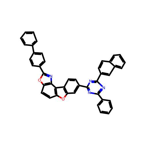 c1ccc(-c2ccc(-c3nc4c(ccc5oc6cc(-c7nc(-c8ccccc8)nc(-c8ccc9ccccc9c8)n7)ccc6c54)o3)cc2)cc1